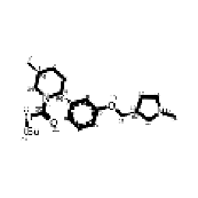 C[C@H]1CC[C@H](c2cccc(OC[C@H]3CCN(C)C3)c2)N(C(=O)OC(C)(C)C)C1